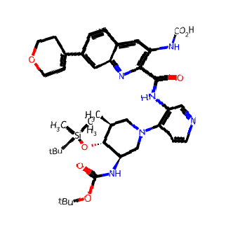 C[C@H]1CN(c2ccncc2NC(=O)c2nc3cc(C4=CCOCC4)ccc3cc2NC(=O)O)C[C@@H](NC(=O)OC(C)(C)C)[C@@H]1O[Si](C)(C)C(C)(C)C